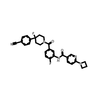 N#Cc1ccc(C2(F)CCN(C(=O)c3ccc(F)c(NC(=O)c4ccc(N5CCC5)nc4)c3)CC2)cc1